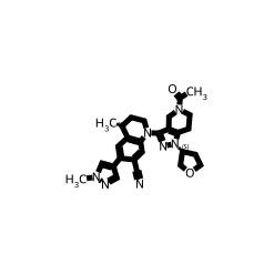 CC(=O)N1CCc2c(c(N3CC[C@H](C)c4cc(-c5cnn(C)c5)c(C#N)cc43)nn2[C@H]2CCOC2)C1